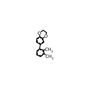 Cc1cccc(-c2ccc3c(c2)OCCO3)c1C